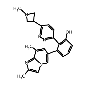 Cc1cn2cc(-c3cccc(O)c3-c3ccc(C4CN(C)C4)nn3)cc(C)c2n1